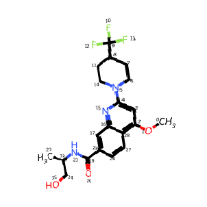 COc1cc(N2CCC(C(F)(F)F)CC2)nc2cc(C(=O)N[C@H](C)CO)ccc12